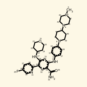 CN1CCN(C2CCN(c3ccc(Nc4nc(NC5CCOCC5)c(-c5ccc(F)cn5)nc4C(N)=O)cc3)CC2)CC1